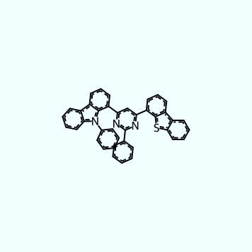 c1ccc(-c2nc(-c3cccc4c3sc3ccccc34)cc(-c3cccc4c5ccccc5n(-c5ccccc5)c34)n2)cc1